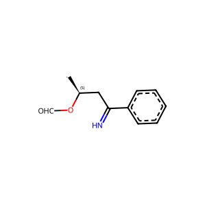 [CH2][C@@H](CC(=N)c1ccccc1)OC=O